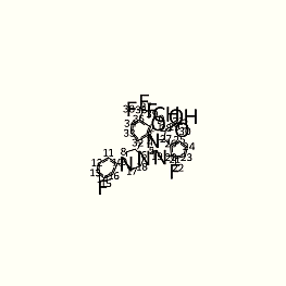 COc1c(N2C(N3CCN(c4cccc(F)c4)CC3)=Nc3c(F)cccc3C2CC(=O)O)cccc1C(F)(F)F